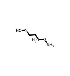 OSCC[SiH2]O[SiH3]